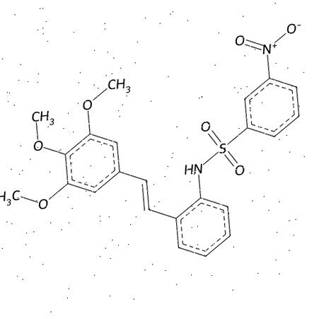 COc1cc(C=Cc2ccccc2NS(=O)(=O)c2cccc([N+](=O)[O-])c2)cc(OC)c1OC